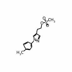 Cc1ccc(-n2cc(CCOS(C)(=O)=O)cn2)cc1